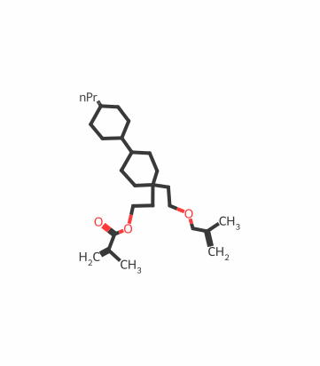 C=C(C)COCCC1(CCOC(=O)C(=C)C)CCC(C2CCC(CCC)CC2)CC1